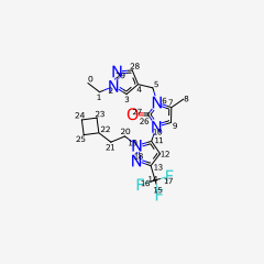 CCn1cc(Cn2c(C)cn(-c3cc(C(F)(F)F)nn3CCC3CCC3)c2=O)cn1